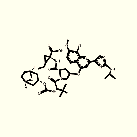 CCC1C[C@]1(NC(=O)[C@@H]1CC(Oc2cc(-c3csc(NC(C)C)n3)nc3c(Cl)c(OC)ccc23)CN1C(=O)[C@@H](NC(=O)O[C@@H]1C[C@H]2CC[C@@H](C1)O2)C(C)(C)C)C(=O)O